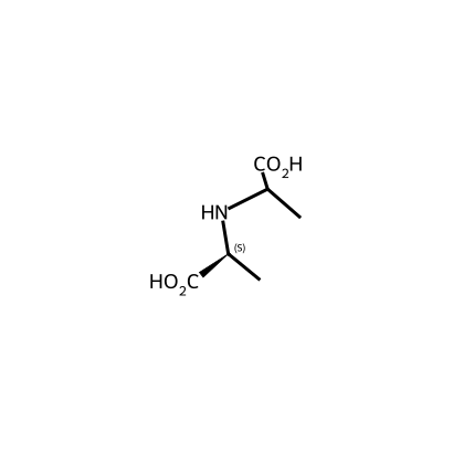 CC(N[C@@H](C)C(=O)O)C(=O)O